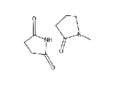 CN1CCCC1=O.O=C1CCC(=O)N1